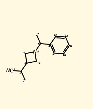 CC(C#N)C1CN(C(C)c2ccccc2)C1